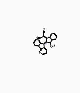 N#CC(C#N)=C1/C(=C2\c3ccccc3-c3ncccc32)C(O)c2ccccc21